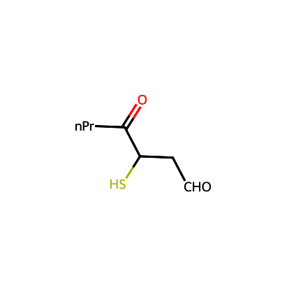 CCCC(=O)C(S)CC=O